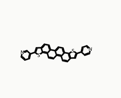 c1cncc(-c2cc3ccc4c5ccc6c(ccc7cc(-c8ccncc8)sc76)c5ccc4c3s2)c1